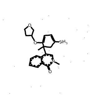 Cn1cc(C2(C)CC([SiH3])=CC=C2OC2CCOC2)c2ccccc2c1=O